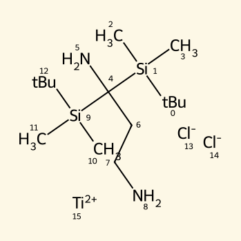 CC(C)(C)[Si](C)(C)C(N)(CCN)[Si](C)(C)C(C)(C)C.[Cl-].[Cl-].[Ti+2]